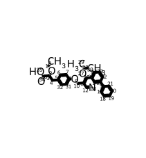 CCOC(Cc1ccc(OCc2cnc3c(-c4ccccc4)cccc3c2OC(C)C)cc1)C(=O)O